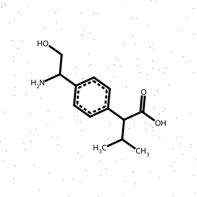 CC(C)C(C(=O)O)c1ccc(C(N)CO)cc1